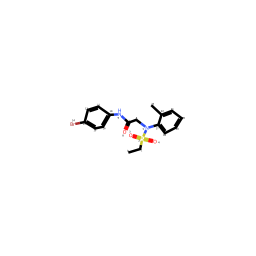 CCS(=O)(=O)N(CC(=O)Nc1ccc(Br)cc1)c1ccccc1C